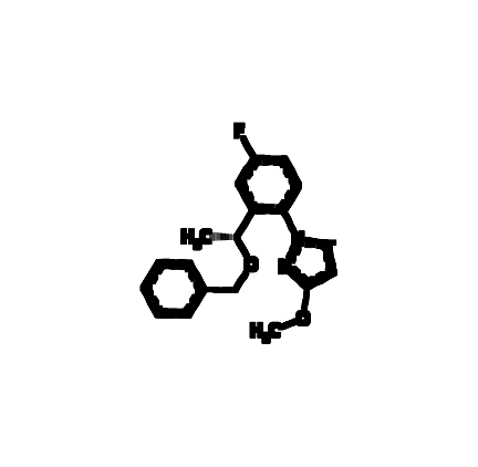 COc1c[c]n(-c2ccc(F)cc2[C@@H](C)OCc2ccccc2)n1